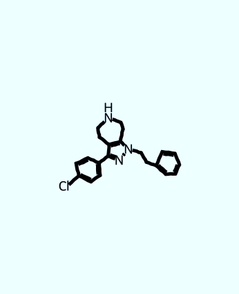 Clc1ccc(-c2nn(CCc3ccccc3)c3c2CCNCC3)cc1